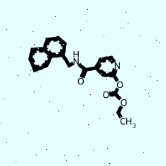 CCOC(=O)Oc1cc(C(=O)NCc2cccc3ccccc23)ccn1